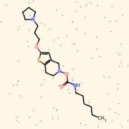 CCCCCCNC(=O)ON1CCc2sc(OCCCN3CCCC3)cc2C1